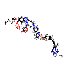 COC(=O)c1ccc2nc(CN3CCC(c4cccc(OCc5ccc(C#Cc6cnn(C)c6)s5)n4)CC3)n(C[C@@H]3CCO3)c2c1